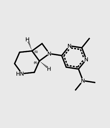 Cc1nc(N(C)C)cc(N2C[C@@H]3CCNC[C@@H]32)n1